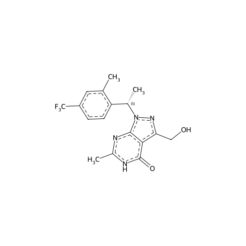 Cc1nc2c(c(CO)nn2[C@@H](C)c2ccc(C(F)(F)F)cc2C)c(=O)[nH]1